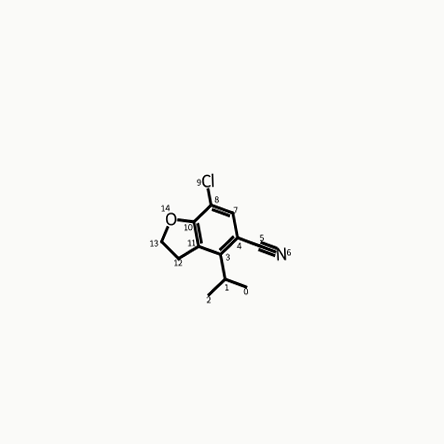 CC(C)c1c(C#N)cc(Cl)c2c1CCO2